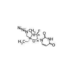 CC[C@@]1(CN=[N+]=[N-])O[C@@H](n2ccc(=O)[nH]c2=O)[C@H](F)[C@@H]1C